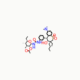 CCCC[C@]1(CC)CS(=O)(=O)c2ccc(N(C)C)cc2[C@H](c2cccc(NC(=O)N[C@@H]3O[C@H](CC)[C@@H](C)[C@H](C)[C@H]3OC(C)=O)c2)[C@@H]1O